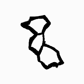 C1=Cn2c(cc3ccccc32)CC=N1